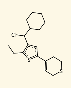 CCc1sc(C2=CCSCC2)cc1C(Cl)C1CCCCC1